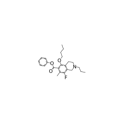 CCCCOc1c2c(c(F)c(C)c1C(=O)Oc1ccccc1)CN(CCC)CC2